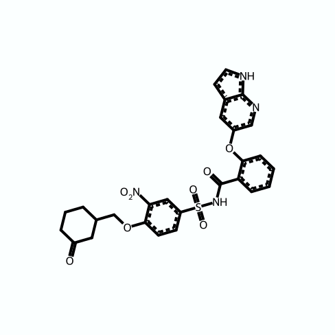 O=C1CCCC(COc2ccc(S(=O)(=O)NC(=O)c3ccccc3Oc3cnc4[nH]ccc4c3)cc2[N+](=O)[O-])C1